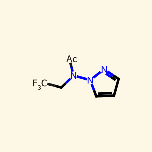 CC(=O)N(CC(F)(F)F)n1cccn1